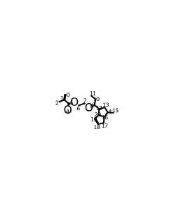 C=C(C)C(=O)OCCOC(CC)C1CC(C)C2CC=CC21